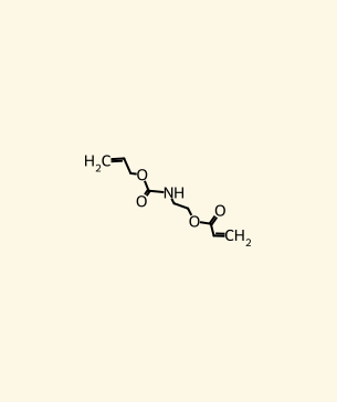 C=CCOC(=O)NCCOC(=O)C=C